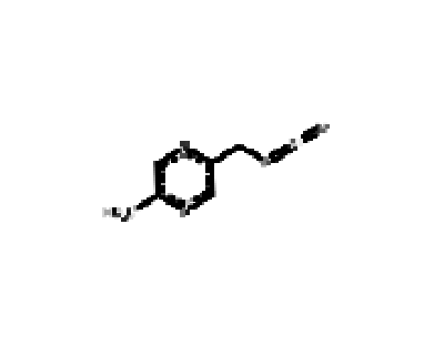 [N-]=[N+]=NCc1cnc(C(=O)O)cn1